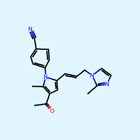 CC(=O)c1cc(C=CCn2ccnc2C)n(-c2ccc(C#N)cc2)c1C